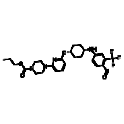 CCCOC(=O)N1CCN(c2cccc(O[C@H]3CC[C@H](Nc4ccc(N=O)c(C(F)(F)F)c4)CC3)n2)CC1